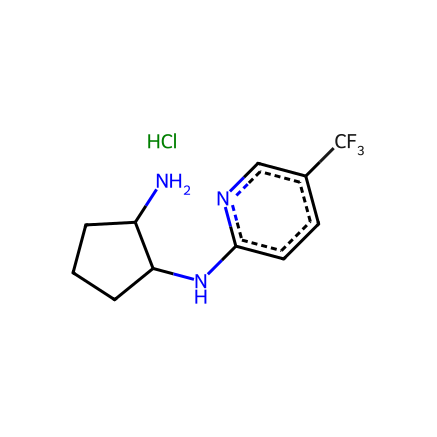 Cl.NC1CCCC1Nc1ccc(C(F)(F)F)cn1